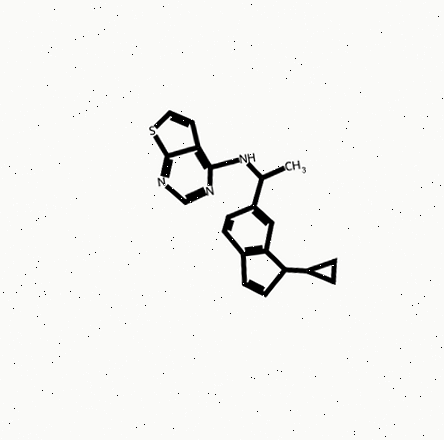 CC(Nc1ncnc2sccc12)c1ccc2c(c1)C(C1CC1)C=C2